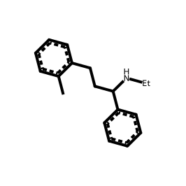 CCNC(CCc1ccccc1C)c1ccccc1